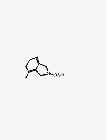 O=C(O)N1CC2=CCCC(F)=C2C1